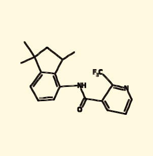 CC1CC(C)(C)c2cccc(NC(=O)c3cccnc3C(F)(F)F)c21